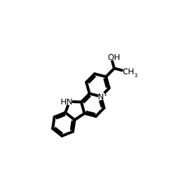 CC(O)c1ccc2c3[nH]c4ccccc4c3cc[n+]2c1